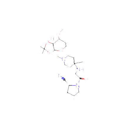 COC1[C@H](C)CO[C@@]2(CN3CCC(C)(NCC(=O)N4CCC[C@H]4C#N)CC3)OC(C)(C)O[C@@H]12